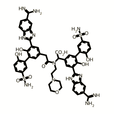 N=C(N)c1ccc2[nH]c(-c3cc(CC(=O)N(CCN4CCOCC4)C(C(=O)O)c4cc(-c5nc6cc(C(=N)N)ccc6[nH]5)c(O)c(-c5cc(S(N)(=O)=O)ccc5O)c4)cc(-c4cc(S(N)(=O)=O)ccc4O)c3O)nc2c1